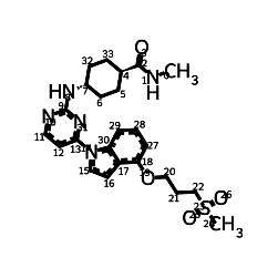 CNC(=O)[C@H]1CC[C@H](Nc2nccc(-n3ccc4c(OCCCS(C)(=O)=O)cccc43)n2)CC1